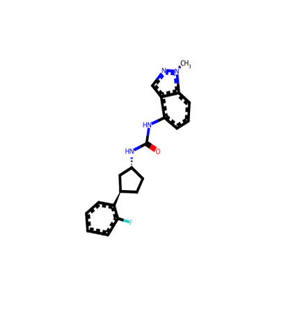 Cn1ncc2c(NC(=O)N[C@@H]3CC[C@@H](c4ccccc4F)C3)cccc21